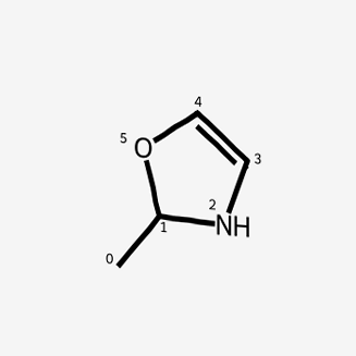 CC1N[C]=CO1